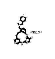 CN(Cc1ccc2cc1CCc1cncc(c1)Nc1ncc(Cl)c(n1)N2)CC1CCNCC1.Cl.Cl.Cl.Cl